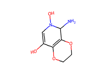 NC1C2=C(OCCO2)C(O)=CN1O